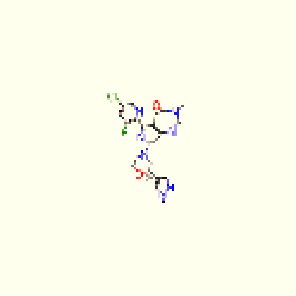 CC1=Nc2cc(N3CCO[C@H](c4cnn(C)c4)C3)nc(-c3ncc(Cl)cc3F)c2C2OC2N1C